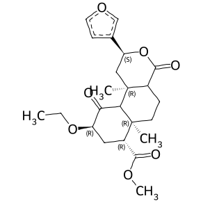 CCO[C@@H]1C[C@@H](C(=O)OC)[C@]2(C)CCC3C(=O)O[C@H](c4ccoc4)C[C@]3(C)C2C1=O